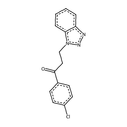 O=C(CCn1nnc2ccccc21)c1ccc(Cl)cc1